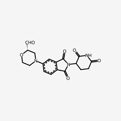 O=C[C@@H]1CN(c2ccc3c(c2)C(=O)N(C2CCC(=O)NC2=O)C3=O)CCO1